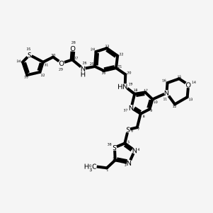 CCc1nnc(SCc2cc(N3CCOCC3)cc(NCc3cccc(NC(=O)OCc4cccs4)c3)n2)s1